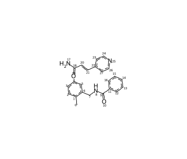 Cc1ccccc1CNC(=O)c1ccccc1.NC(=O)/C=C/c1ccncc1